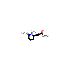 COC(=O)C#CC1CCCC(C(=O)O)N1C=O